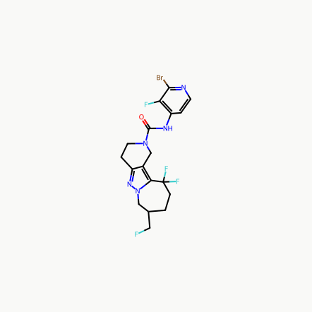 O=C(Nc1ccnc(Br)c1F)N1CCc2nn3c(c2C1)C(F)(F)CCC(CF)C3